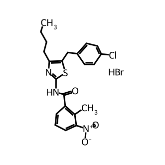 Br.CCCCc1nc(NC(=O)c2cccc([N+](=O)[O-])c2C)sc1Cc1ccc(Cl)cc1